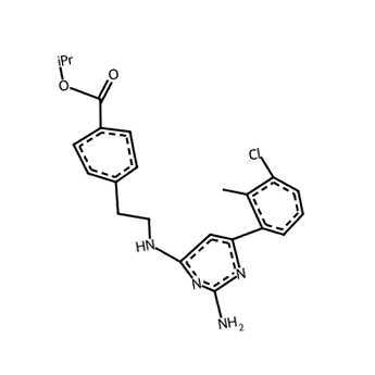 Cc1c(Cl)cccc1-c1cc(NCCc2ccc(C(=O)OC(C)C)cc2)nc(N)n1